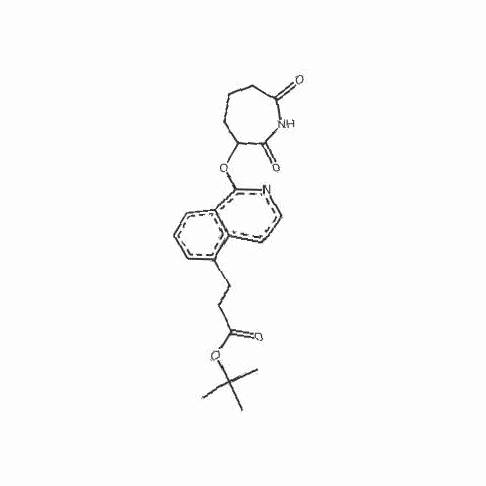 CC(C)(C)OC(=O)CCc1cccc2c(OC3CCCC(=O)NC3=O)nccc12